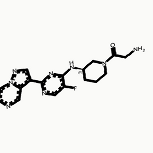 NCC(=O)N1CCC[C@@H](Nc2nc(-c3cnn4ccncc34)ncc2F)C1